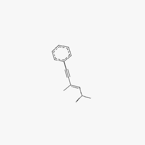 CC(C#Cc1ccccc1)=CC(C)C